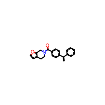 C=C(c1ccccc1)c1ccc(C(=O)N2CCc3ccoc3C2)cc1